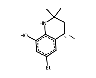 CCc1cc(O)c2c(c1)[C@@H](C)CC(C)(C)N2